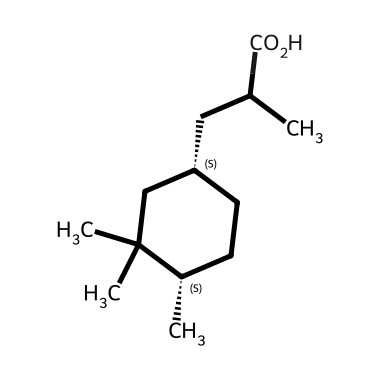 CC(C[C@@H]1CC[C@H](C)C(C)(C)C1)C(=O)O